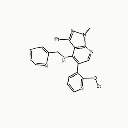 CCOc1ncccc1-c1cnc2c(c(C(C)C)nn2C)c1NCc1ccccn1